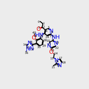 CCC(=O)c1cnc(Nc2cnc(OCCn3ccnc3C)cn2)cc1Nc1cccc(-c2ncn(C)n2)c1OC